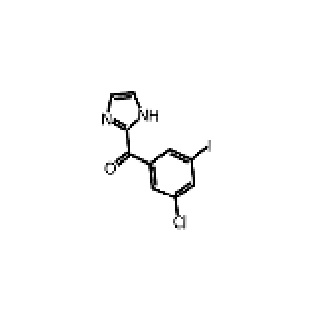 O=C(c1cc(Cl)cc(I)c1)c1ncc[nH]1